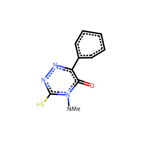 CNn1c(S)nnc(-c2ccccc2)c1=O